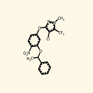 [CH2]C(Oc1cc(Oc2nn(C)c(C(F)(F)F)c2Cl)ccc1[N+](=O)[O-])c1ccccc1